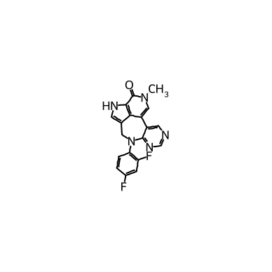 Cn1cc2c3c(c[nH]c3c1=O)CN(c1ccc(F)cc1F)c1ncncc1-2